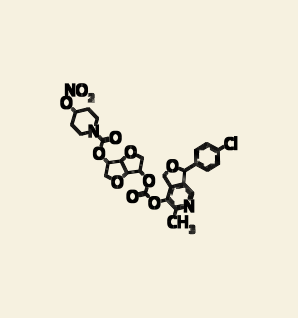 Cc1ncc2c(c1OC(=O)OC1COC3C(OC(=O)N4CCC(O[N+](=O)[O-])CC4)COC13)COC2c1ccc(Cl)cc1